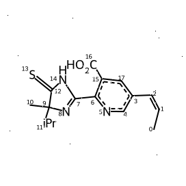 C/C=C\c1cnc(C2=NC(C)(C(C)C)C(=S)N2)c(C(=O)O)c1